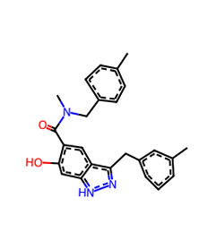 Cc1ccc(CN(C)C(=O)c2cc3c(Cc4cccc(C)c4)n[nH]c3cc2O)cc1